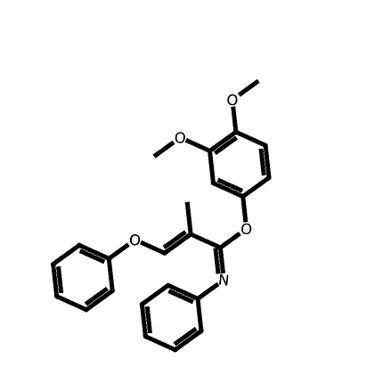 COc1ccc(OC(=N/c2ccccc2)/C(C)=C/Oc2ccccc2)cc1OC